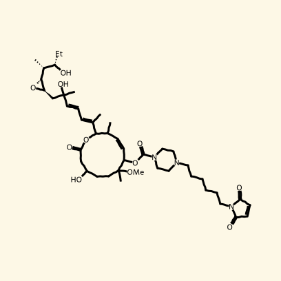 CC[C@H](O)[C@@H](C)[C@H]1O[C@@H]1CC(C)(O)/C=C/C=C(\C)C1OC(=O)CC(O)CCC(C)(OC)C(OC(=O)N2CCN(CCCCCCN3C(=O)C=CC3=O)CC2)C=CC1C